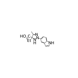 CCC1(C(=O)O)NN(c2ccc3[nH]ccc3c2)N=C1C